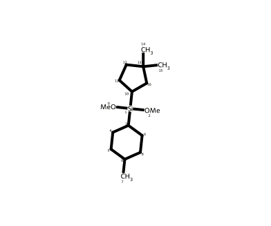 CO[Si](OC)(C1CCC(C)CC1)C1CCC(C)(C)C1